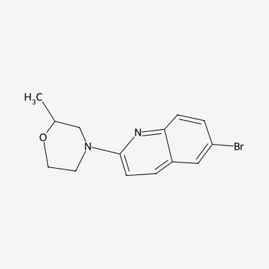 CC1CN(c2ccc3cc(Br)ccc3n2)CCO1